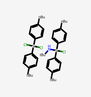 CCCCc1ccc([Si](Cl)(Cl)c2ccc(CCCC)cc2)cc1.CCCCc1ccc([Si](Cl)(NC(C)(C)C)c2ccc(CCCC)cc2)cc1